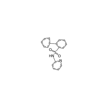 O=S(=O)(Nc1ccccn1)c1ccccc1-c1ccccc1